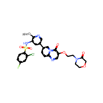 COc1ncc(-c2ccc3ncc(OCCN4CCOCC4=O)c(=O)n3c2)cc1NS(=O)(=O)c1ccc(F)cc1Cl